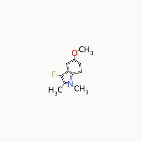 COc1ccc2c(c1)c(F)c(C)n2C